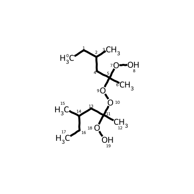 CCC(C)CC(C)(OO)OOC(C)(CC(C)CC)OO